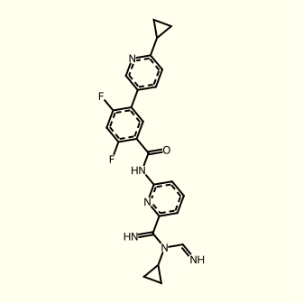 N=CN(C(=N)c1cccc(NC(=O)c2cc(-c3ccc(C4CC4)nc3)c(F)cc2F)n1)C1CC1